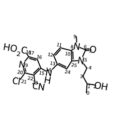 CC(O)CCn1c(=O)n(C)c2ccc(Nc3cc(C(=O)O)nc(Cl)c3C#N)cc21